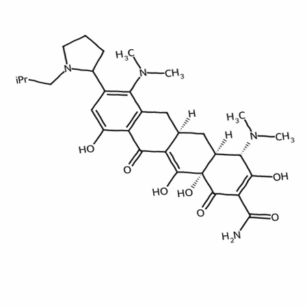 CC(C)CN1CCCC1c1cc(O)c2c(c1N(C)C)C[C@H]1C[C@H]3[C@H](N(C)C)C(O)=C(C(N)=O)C(=O)[C@@]3(O)C(O)=C1C2=O